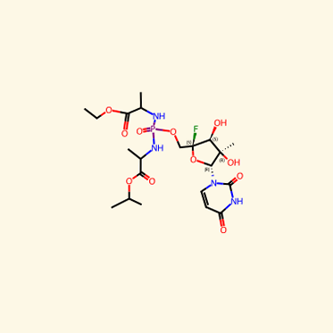 CCOC(=O)C(C)NP(=O)(NC(C)C(=O)OC(C)C)OC[C@@]1(F)O[C@@H](n2ccc(=O)[nH]c2=O)[C@](C)(O)[C@@H]1O